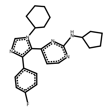 Fc1ccc(-c2ncn(C3CCCCC3)c2-c2ccnc(NC3CCCC3)n2)cc1